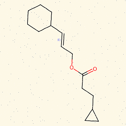 O=C(CCC1CC1)OC/C=C/C1CCCCC1